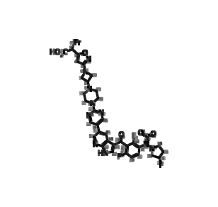 CC(C)C(C(=O)O)c1cc(N2CC(N3CCN(c4ncc(-c5cnc6[nH]cc(C(=O)c7c(F)ccc(N(N8CC[C@@H](F)C8)[SH](=O)=O)c7F)c6c5)cn4)CC3)C2)no1